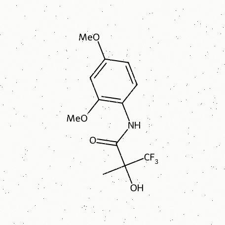 COc1ccc(NC(=O)C(C)(O)C(F)(F)F)c(OC)c1